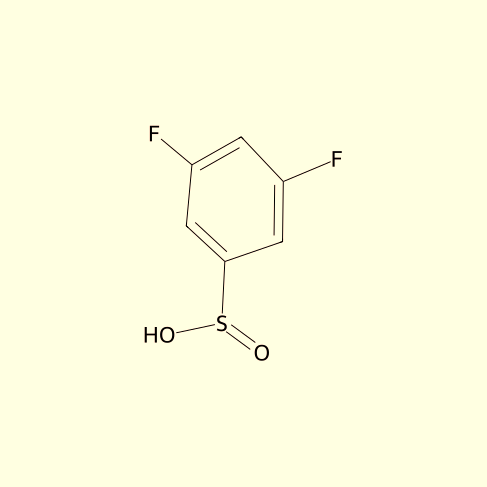 O=S(O)c1cc(F)cc(F)c1